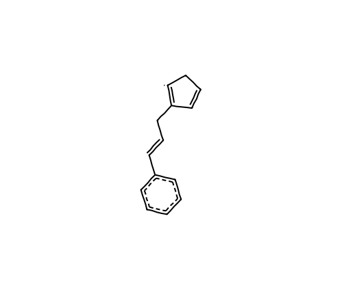 [C]1=C(C/C=C/c2ccccc2)C=CC1